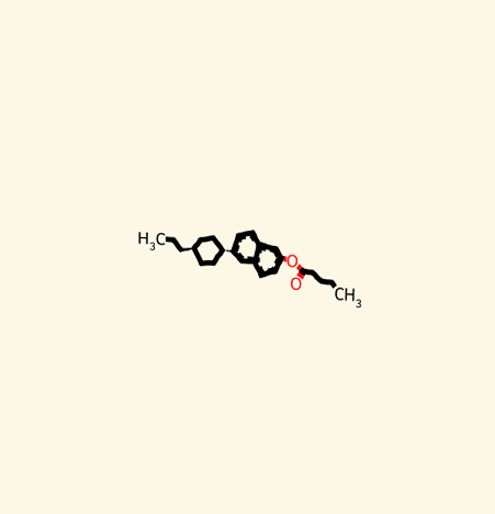 CCCCC(=O)Oc1ccc2cc([C@H]3CC[C@H](CCC)CC3)ccc2c1